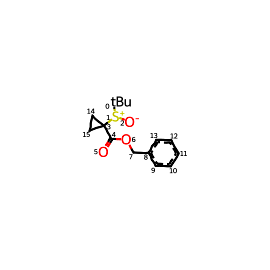 CC(C)(C)[S+]([O-])C1(C(=O)OCc2ccccc2)CC1